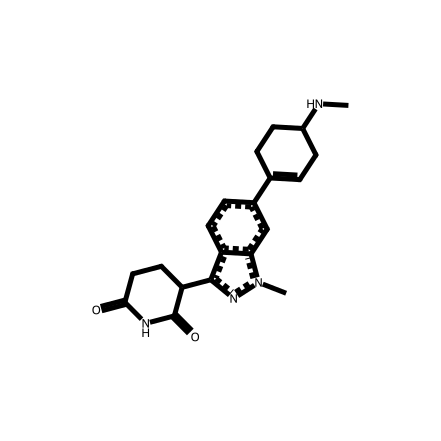 CNC1CC=C(c2ccc3c(C4CCC(=O)NC4=O)nn(C)c3c2)CC1